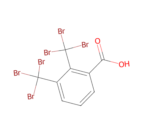 O=C(O)c1cccc(C(Br)(Br)Br)c1C(Br)(Br)Br